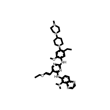 CCO/C=C/c1cnc(Nc2cc(CC)c(N3CCC(N4CCN(C)CC4)CC3)cc2OC)nc1Nc1ccc2nccnc2c1P(C)C